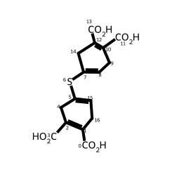 O=C(O)C1=C(C(=O)O)CC(SC2=CCC(C(=O)O)=C(C(=O)O)C2)=CC1